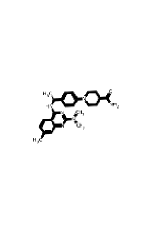 Cc1ccc2c(N[C@@H](C)c3ccc(N4CCC(C(N)=O)CC4)cc3)nc(N(C)C)nc2c1